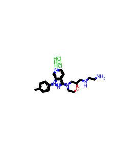 Cc1ccc(-n2nc(N3CCOC(CNCCN)C3)c3ccncc32)cc1.Cl.Cl.Cl